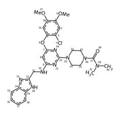 COc1cc(Cl)c(Oc2cc(NCc3nc4ccccc4[nH]3)nc(N3CCN(C(=O)N(C)C)CC3)n2)cc1OC